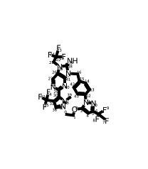 CCOc1cc(C(F)(F)F)nn1-c1ccc(Cn2c(=N)n(CC(F)(F)F)c3cnc(-c4c(C(F)(F)F)cnn4C)nc32)cc1